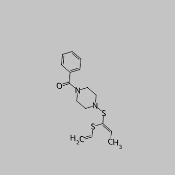 C=CS/C(=C\C)SN1CCN(C(=O)c2ccccc2)CC1